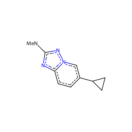 CNc1nc2ccc(C3CC3)cn2n1